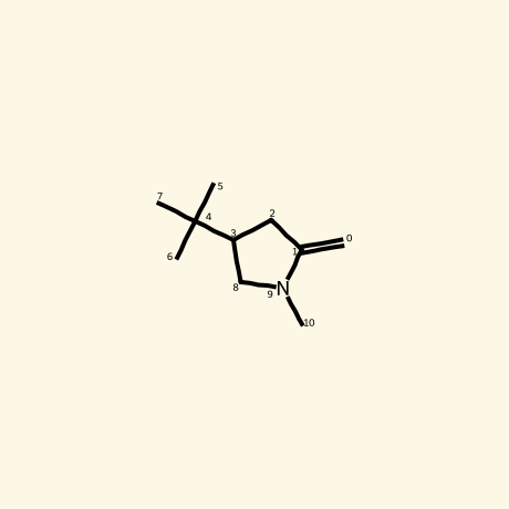 C=C1CC(C(C)(C)C)CN1C